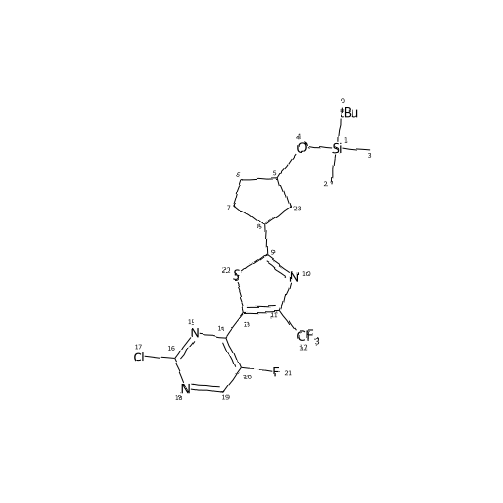 CC(C)(C)[Si](C)(C)OC1CCC(c2nc(C(F)(F)F)c(-c3nc(Cl)ncc3F)s2)C1